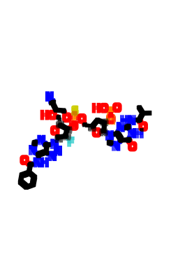 CC(C)C(=O)Nc1nc2c(ncn2[C@@H]2O[C@H](COP(=S)(OCCC#N)O[C@H]3[C@H](F)[C@H](n4nnc5c(NC(=O)c6ccccc6)ncnc54)O[C@@H]3CO)C[C@@H]2O[PH](=O)O)c(=O)[nH]1